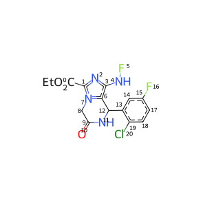 CCOC(=O)c1nc(NF)c2n1CC(=O)NC2c1cc(F)ccc1Cl